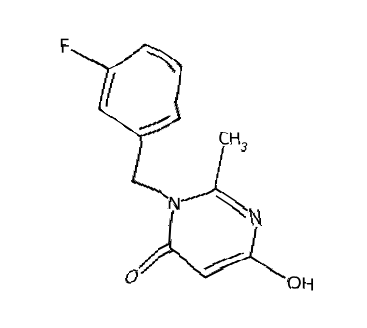 Cc1nc(O)cc(=O)n1Cc1cccc(F)c1